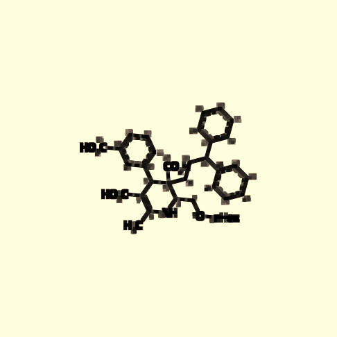 CCCCCCOCC1NC(C)=C(C(=O)O)C(c2cccc(C(=O)O)c2)C1(CCC(c1ccccc1)c1ccccc1)C(=O)O